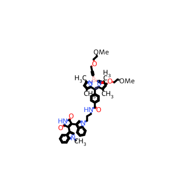 COCCOCC#CB(C#CCOCCOC)n1c(C)cc(C)c1/C(=C1\N=C(C)C=C1C)c1ccc(C(=O)NCCCn2cc(C3=C(c4cn(C)c5ccccc45)C(=O)NC3=O)c3ccccc32)cc1